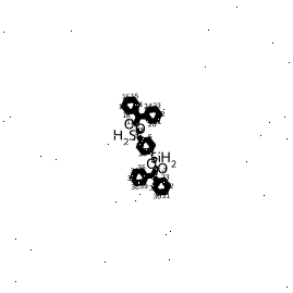 O=C(O[SiH2]c1ccc([SiH2]OC(=O)C(c2ccccc2)c2ccccc2)cc1)C(c1ccccc1)c1ccccc1